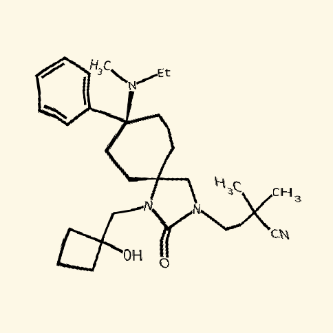 CCN(C)[C@]1(c2ccccc2)CC[C@@]2(CC1)CN(CC(C)(C)C#N)C(=O)N2CC1(O)CCC1